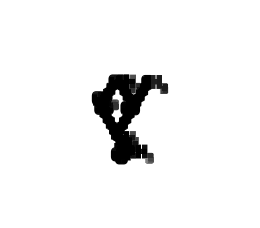 CCCCCCCCC(CC)OC(=O)CCCCCCCN(CCCCCCCC(=O)OC(CCCCCCCC)CCCCCCCC)CCCNC1=NS(=O)(=O)N=C1NC